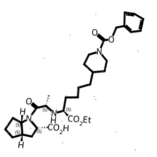 CCOC(=O)[C@H](CCCCC1CCN(C(=O)OCc2ccccc2)CC1)N[C@@H](C)C(=O)N1[C@H](C(=O)O)C[C@@H]2CCC[C@@H]21